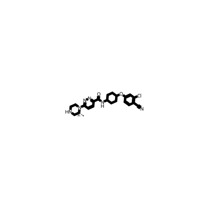 C[C@@H]1CNCCN1c1ccc(C(=O)NC2CCC(Oc3ccc(C#N)c(Cl)c3)CC2)nn1